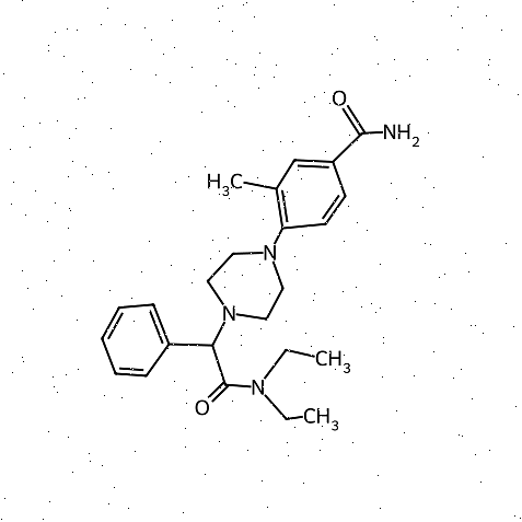 CCN(CC)C(=O)C(c1ccccc1)N1CCN(c2ccc(C(N)=O)cc2C)CC1